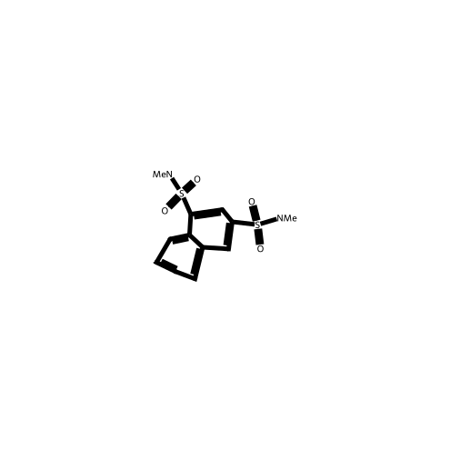 CNS(=O)(=O)c1cc(S(=O)(=O)NC)c2c[c]ccc2c1